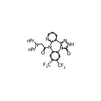 CCCN(CCC)CC(=O)N1c2cc(C(F)(F)F)c(C(F)(F)F)cc2-n2c(n[nH]c2=O)-c2cccnc21